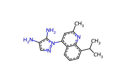 Cc1cc(-n2ncc(N)c2N)c2cccc(C(C)C)c2n1